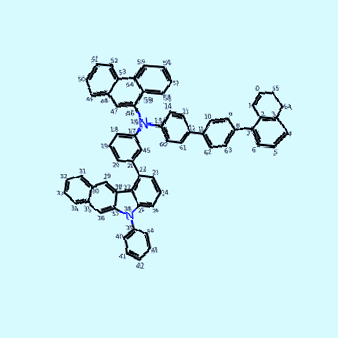 C1=Cc2c(cccc2-c2ccc(-c3ccc(N(c4cccc(-c5cccc6c5c5cc7ccccc7cc5n6-c5ccccc5)c4)c4cc5ccccc5c5ccccc45)cc3)cc2)CC1